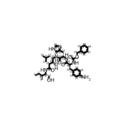 CC[C@H](C)[C@@H](CO)NC(=O)C[C@H](O)[C@H](CC(C)C)NC(=O)[C@H](Cc1c[nH]cn1)NC(=O)[C@H](Cc1ccc(N)cc1)NC(=O)OCc1ccccc1